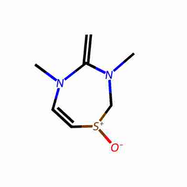 C=C1N(C)C=C[S+]([O-])CN1C